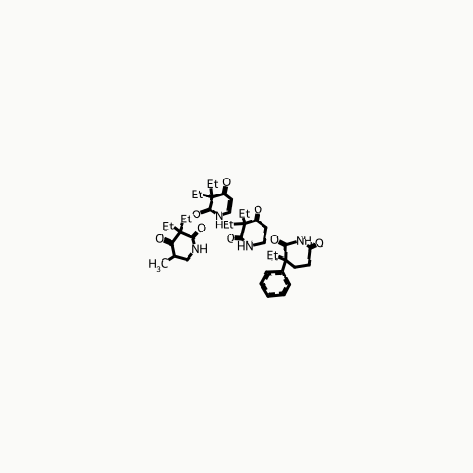 CCC1(CC)C(=O)C=CNC1=O.CCC1(CC)C(=O)CCNC1=O.CCC1(CC)C(=O)NCC(C)C1=O.CCC1(c2ccccc2)CCC(=O)NC1=O